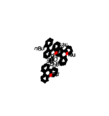 CCCCc1ccccc1-c1cccc(OP(=O)(Oc2cccc(-c3ccccc3CCCC)c2-c2ccccc2CCCC)Oc2cccc(-c3ccccc3CCCC)c2-c2ccccc2CCCC)c1-c1ccccc1CCCC